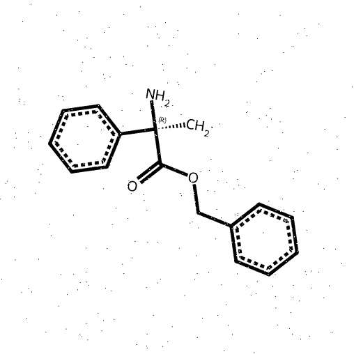 [CH2][C@](N)(C(=O)OCc1ccccc1)c1ccccc1